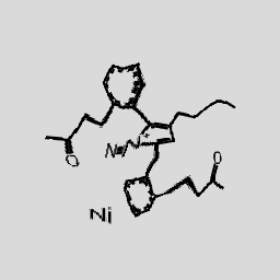 CCCCC1=C(c2ccccc2CCC(C)=O)[N+](=[N-])C(c2ccccc2CCC(C)=O)=C1.[Ni]